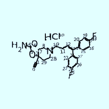 C#CC1(OC(N)=O)CCN(CCC=C(c2ccc(F)cc2)c2ccc(F)cc2)CC1.Cl